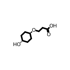 O=C(O)CCO[C@H]1CC[C@H](O)CC1